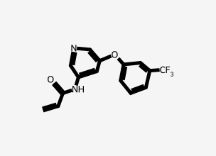 C=CC(=O)Nc1cncc(Oc2cccc(C(F)(F)F)c2)c1